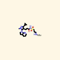 CCCCNC=CCS(=O)(=O)NC(=O)/C=C/c1c(C2CC2)nn(C)c1-n1ccc2cccnc21